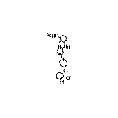 CC(=O)Nc1cccc(Nc2ncnc(N3CCC(Oc4cccc(Cl)c4Cl)CC3)n2)c1C